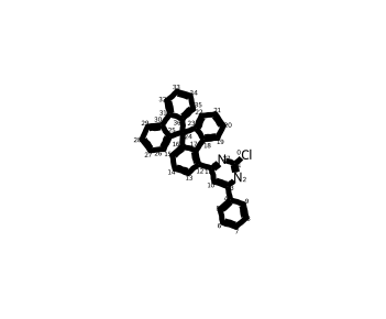 Clc1nc(-c2ccccc2)cc(-c2cccc3c2-c2ccccc2C32c3ccccc3-c3ccccc32)n1